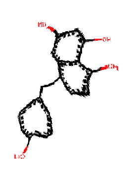 Oc1ccc(Cc2ccc(O)c3c(O)cc(O)cc23)cc1